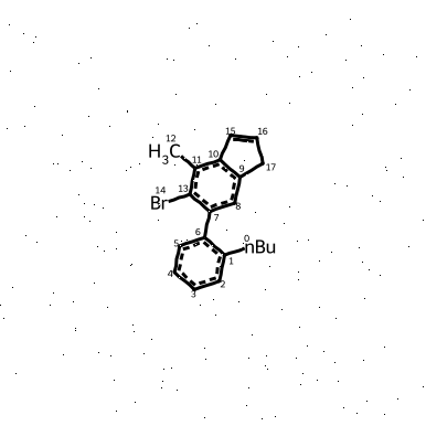 CCCCc1ccccc1-c1cc2c(c(C)c1Br)C=CC2